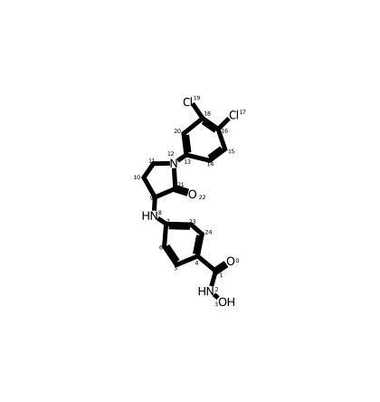 O=C(NO)c1ccc(NC2CCN(c3ccc(Cl)c(Cl)c3)C2=O)cc1